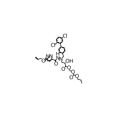 C=CCOn1cc(C(=O)NN(Cc2ccc(-c3cc(Cl)ccc3Cl)cc2)C[C@@H](O)C(=O)OCOC(=O)OCCC)nn1